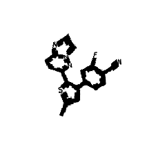 Cc1cc(-c2ccc(C#N)c(F)c2)c(-c2ccc3nccn3n2)s1